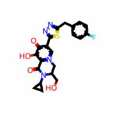 O=C1c2c(O)c(=O)c(-c3nnc(Cc4ccc(F)cc4)s3)cn2CC(CO)N1C1CC1